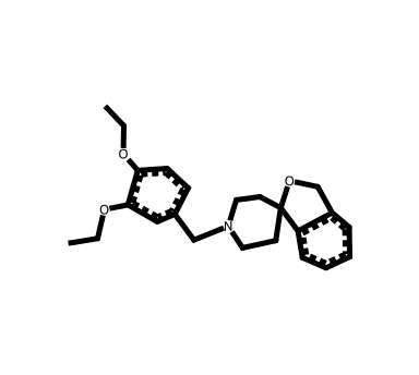 CCOc1ccc(CN2CCC3(CC2)OCc2ccccc23)cc1OCC